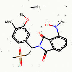 CCC.CCOc1cc([C@@H](CS(C)(=O)=O)N2C(=O)c3cccc(N(O)C(C)=O)c3C2=O)ccc1OC